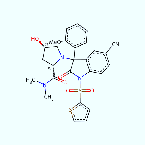 COc1ccccc1C1(N2C[C@H](O)C[C@H]2C(=O)N(C)C)C(=O)N(S(=O)(=O)c2cccs2)c2ccc(C#N)cc21